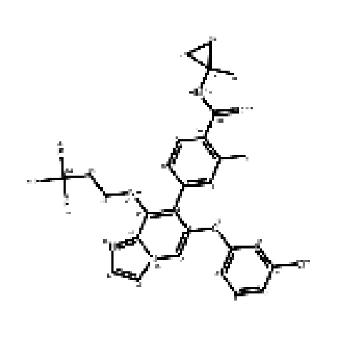 Cc1cc(-c2c(Oc3cccc(Cl)c3)cn3ccnc3c2NCCC(F)(F)F)ccc1C(=O)NC1(C)CC1